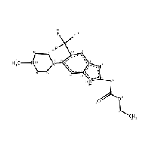 CCOC(=O)Cc1nc2cc(C(F)(F)F)c(N3CCN(C)CC3)cc2[nH]1